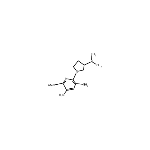 COc1nc(N2CCC(N(C)C)C2)c(N)cc1N